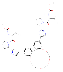 COC(=O)N[C@H](C(=O)N1CCC[C@H]1c1ncc(-c2ccc3c(c2)OCCOCCOCCOc2cc(-c4cnc([C@@H]5CCCN5C(=O)[C@@H](NC(=O)OC)C(C)C)[nH]4)ccc2-3)[nH]1)C(C)C